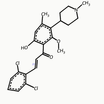 COc1c(C(=O)/C=C/c2c(Cl)cccc2Cl)c(O)cc(C)c1C1CCN(C)CC1